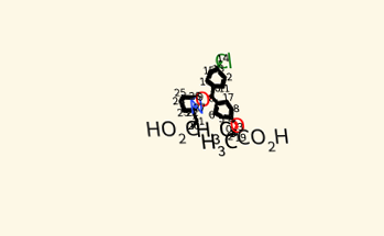 CC(C)(Oc1ccc(C(=O)c2ccc(Cl)cc2)cc1)C(=O)O.O=C(O)Cc1ccccn1